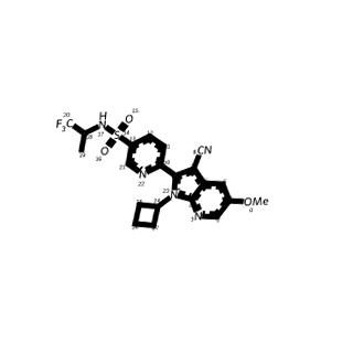 COc1cnc2c(c1)c(C#N)c(-c1ccc(S(=O)(=O)NC(C)C(F)(F)F)cn1)n2C1CCC1